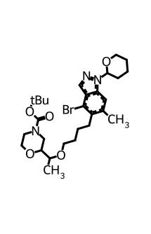 Cc1cc2c(cnn2C2CCCCO2)c(Br)c1CCCCOC(C)C1CN(C(=O)OC(C)(C)C)CCO1